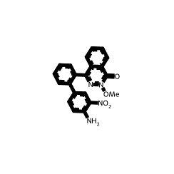 COn1nc(-c2ccccc2-c2ccc(N)c([N+](=O)[O-])c2)c2ccccc2c1=O